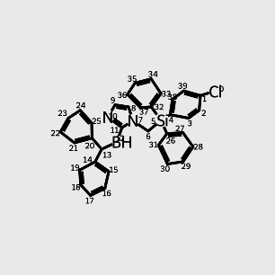 Clc1ccc([Si](Cn2ccnc2BC(c2ccccc2)c2ccccc2)(c2ccccc2)c2ccccc2)cc1